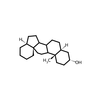 C[C@]12CC[C@@H](O)C[C@@H]1CCC1C3CC[C@@H]4CCCC[C@]34CCC12